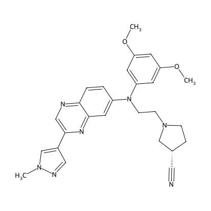 COc1cc(OC)cc(N(CCN2CC[C@H](C#N)C2)c2ccc3ncc(-c4cnn(C)c4)nc3c2)c1